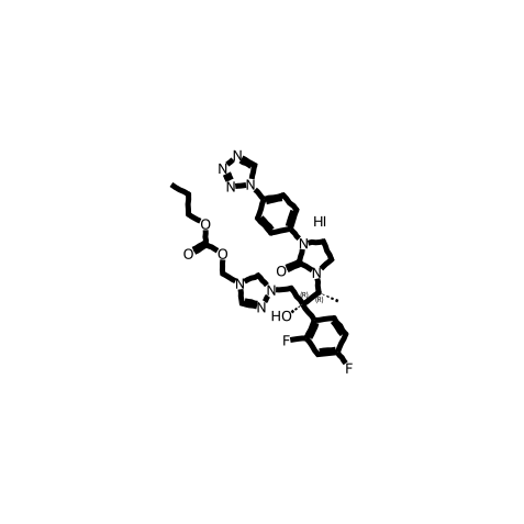 CCCOC(=O)OCN1C=NN(C[C@](O)(c2ccc(F)cc2F)[C@@H](C)N2CCN(c3ccc(-n4cnnn4)cc3)C2=O)C1.I